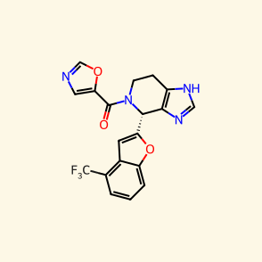 O=C(c1cnco1)N1CCc2[nH]cnc2[C@@H]1c1cc2c(C(F)(F)F)cccc2o1